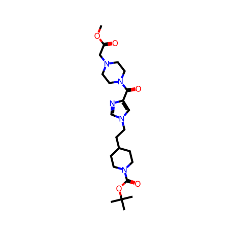 COC(=O)CN1CCN(C(=O)c2cn(CCC3CCN(C(=O)OC(C)(C)C)CC3)cn2)CC1